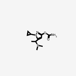 CC(c1cc(OC(N)=O)nn1C1CC1)N(C)C